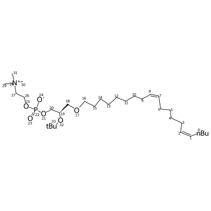 CCCC/C=C\CCCC/C=C\CCCCCCCCOC[C@H](COP(=O)([O-])OCC[N+](C)(C)C)OC(C)(C)C